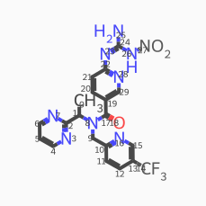 CC(c1ncccn1)N(Cc1ccc(C(F)(F)F)cn1)C(=O)c1ccc(N=C(N)N[N+](=O)[O-])nc1